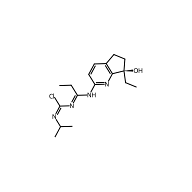 CC/C(=N\C(Cl)=N/C(C)C)Nc1ccc2c(n1)[C@@](O)(CC)CC2